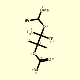 COC(OC(C(F)(F)F)(C(F)(F)F)C(C)(C)OC(=O)C(C)(C)C)C(C)C